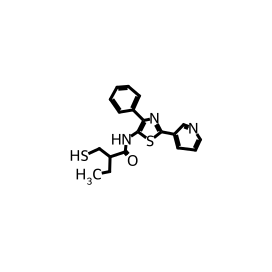 CCC(CS)C(=O)Nc1sc(-c2cccnc2)nc1-c1ccccc1